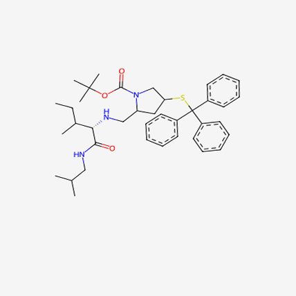 CCC(C)[C@H](NCC1CC(SC(c2ccccc2)(c2ccccc2)c2ccccc2)CN1C(=O)OC(C)(C)C)C(=O)NCC(C)C